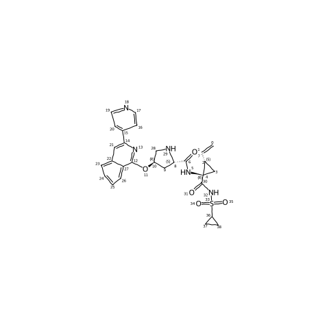 C=C[C@@H]1C[C@]1(NC(=O)[C@@H]1C[C@@H](Oc2nc(-c3ccncc3)cc3ccccc23)CN1)C(=O)NS(=O)(=O)C1CC1